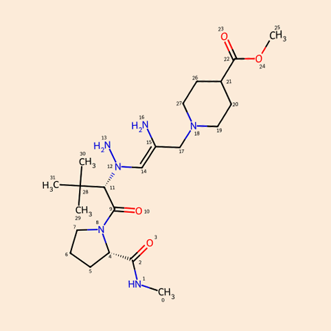 CNC(=O)[C@@H]1CCCN1C(=O)[C@@H](N(N)/C=C(\N)CN1CCC(C(=O)OC)CC1)C(C)(C)C